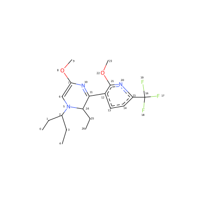 CCC(CC)N1C=C(OC)N=C(c2ccc(C(F)(F)F)nc2OC)C1CC